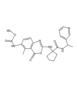 Cc1c(NC(=O)OC(C)(C)C)ccc2nc(NC3(C(=O)NC(C)c4cccnc4)CCCC3)oc(=O)c12